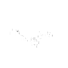 CN(CC=CC(=O)N1CCc2c(sc3ncnc(Nc4ccc(OCc5ccccn5)c(Cl)c4)c23)C1)C(C)(C)C